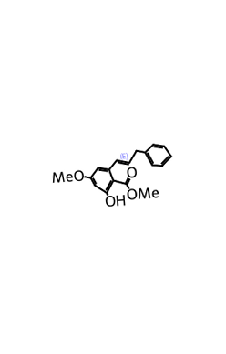 COC(=O)c1c(O)cc(OC)cc1/C=C/Cc1ccccc1